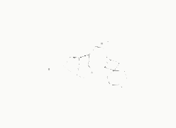 CC(C)N1CC2C(C[C@@H](C)N3CC4(CCNCC4)C3)C3CNCC32C1